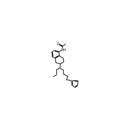 CCCN(CCCCc1ccccc1)C1CCc2c(cccc2NC(C)=O)C1